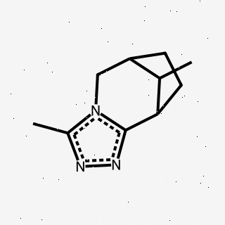 Cc1nnc2n1CC1CCC2C1C